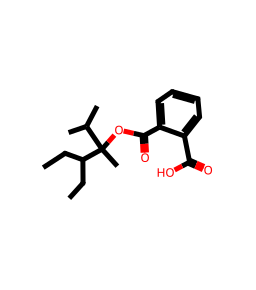 CCC(CC)C(C)(OC(=O)c1ccccc1C(=O)O)C(C)C